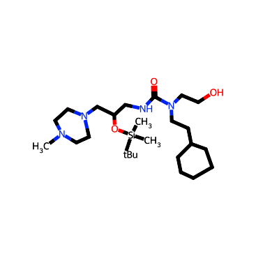 CN1CCN(CC(CNC(=O)N(CCO)CCC2CCCCC2)O[Si](C)(C)C(C)(C)C)CC1